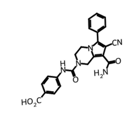 N#Cc1c(C(N)=O)c2n(c1-c1ccccc1)CCN(C(=O)Nc1ccc(C(=O)O)cc1)C2